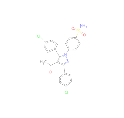 CC(=O)c1c(-c2ccc(Cl)cc2)nn(-c2ccc(S(N)(=O)=O)cc2)c1-c1ccc(Cl)cc1